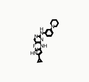 Fc1cnc(Nc2cccc(N3CCCCC3)c2)nc1Nc1cc(C2CC2)[nH]n1